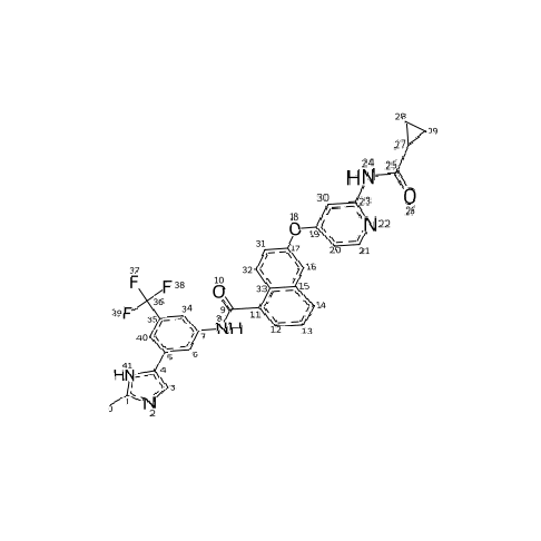 Cc1ncc(-c2cc(NC(=O)c3cccc4cc(Oc5ccnc(NC(=O)C6CC6)c5)ccc34)cc(C(F)(F)F)c2)[nH]1